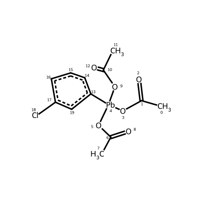 CC(=O)[O][Pb]([O]C(C)=O)([O]C(C)=O)[c]1cccc(Cl)c1